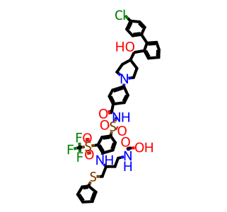 O=C(O)NCCC(CSc1ccccc1)Nc1ccc(S(=O)(=O)NC(=O)c2ccc(N3CCC(C(O)c4ccccc4-c4ccc(Cl)cc4)CC3)cc2)cc1S(=O)(=O)C(F)(F)F